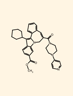 COC(=O)c1ccc2c(C3CCCCC3)c3n(c2c1)CC(C(=O)N1CCN(c2ccncc2)CC1)=Cc1ccccc1-3